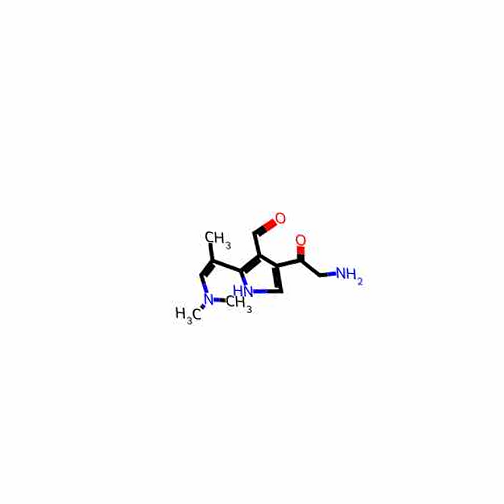 C/C(=C/N(C)C)c1[nH]cc(C(=O)CN)c1C=O